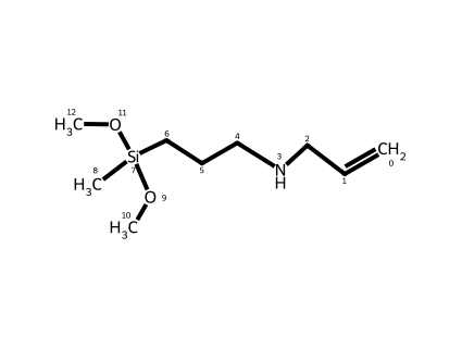 C=CCNCCC[Si](C)(OC)OC